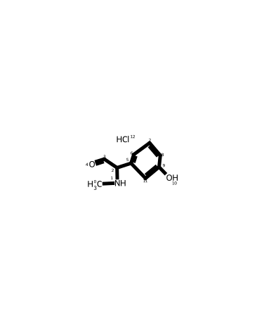 CNC(C=O)c1cccc(O)c1.Cl